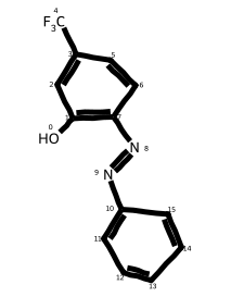 Oc1cc(C(F)(F)F)ccc1/N=N/c1ccccc1